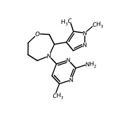 Cc1cc(N2CCCOCC2c2cnn(C)c2C)nc(N)n1